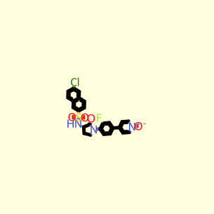 O=C1[C@@H](NS(=O)(=O)c2ccc3cc(Cl)ccc3c2)CCN1c1ccc(-c2cc[n+]([O-])cc2)cc1F